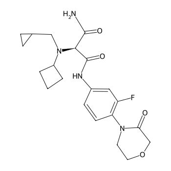 NC(=O)[C@@H](C(=O)Nc1ccc(N2CCOCC2=O)c(F)c1)N(CC1CC1)C1CCC1